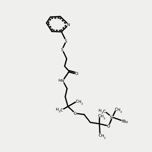 CC(C)(CCNC(=O)CCSSc1ccccn1)OCCC(C)(C)O[Si](C)(C)C(C)(C)C